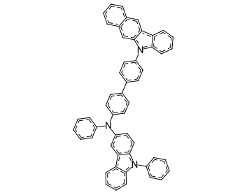 c1ccc(N(c2ccc(-c3ccc(-n4c5ccccc5c5cc6ccccc6cc54)cc3)cc2)c2ccc3c(c2)c2ccccc2n3-c2ccccc2)cc1